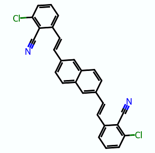 N#Cc1c(Cl)cccc1C=Cc1ccc2cc(C=Cc3cccc(Cl)c3C#N)ccc2c1